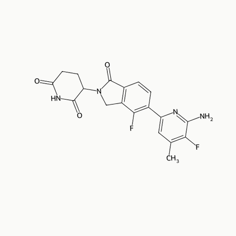 Cc1cc(-c2ccc3c(c2F)CN(C2CCC(=O)NC2=O)C3=O)nc(N)c1F